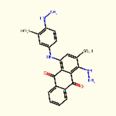 NNc1ccc(Nc2cc(S(=O)(=O)O)c(NN)c3c2C(=O)c2ccccc2C3=O)cc1S(=O)(=O)O